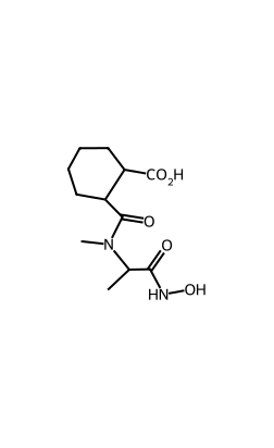 CC(C(=O)NO)N(C)C(=O)C1CCCCC1C(=O)O